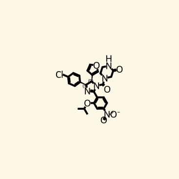 CC(C)Oc1cc([N+](=O)[O-])ccc1C1=N[C@@H](c2ccc(Cl)cc2)[C@@H](c2ccoc2)N1C(=O)N1CCNC(=O)C1